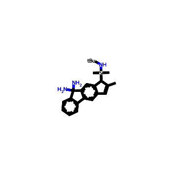 CC1=Cc2cc3c(cc2C1[Si](C)(C)NC(C)(C)C)C(N)(N)c1ccccc1-3